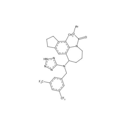 Cc1c2c(cc3c1N(C(=O)OC(C)C)CCCC3N(Cc1cc(C(F)(F)F)cc(C(F)(F)F)c1)c1nn[nH]n1)CCC2